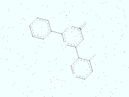 O=c1cc(-c2cnccc2Cl)[nH]c(-c2ccccc2)n1